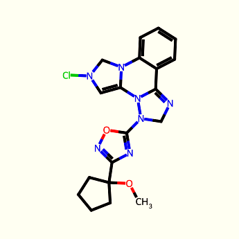 COC1(c2noc(N3CN=C4c5ccccc5N5CN(Cl)C=C5N43)n2)CCCC1